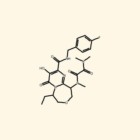 CCC1COCC(N(C)C(=O)C(=O)N(C)C)c2nc(C(=O)NCc3ccc(F)cc3)c(O)c(=O)n21